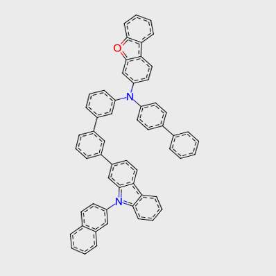 c1ccc(-c2ccc(N(c3cccc(-c4cccc(-c5ccc6c7ccccc7n(-c7ccc8ccccc8c7)c6c5)c4)c3)c3ccc4c(c3)oc3ccccc34)cc2)cc1